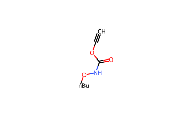 C#COC(=O)NOCCCC